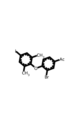 CC(=O)c1ccc(Oc2c(C)cc(I)cc2C)c(Br)c1